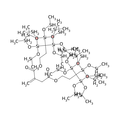 C=C(CC(=O)OCCC([Si](O[SiH2]C)(O[SiH2]C)O[SiH2]C)([Si](O[SiH2]C)(O[SiH2]C)O[SiH2]C)[Si](O[SiH2]C)(O[SiH2]C)O[SiH2]C)C(=O)OCCC([Si](O[SiH2]C)(O[SiH2]C)O[SiH2]C)([Si](O[SiH2]C)(O[SiH2]C)O[SiH2]C)[Si](O[SiH2]C)(O[SiH2]C)O[SiH2]C